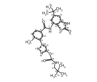 Cc1ccc(C(=O)Nc2cc(C(C)(C)C)cc3[nH]c(=O)oc23)cc1-n1cc(OC(=O)NCC(C)(C)C)nn1